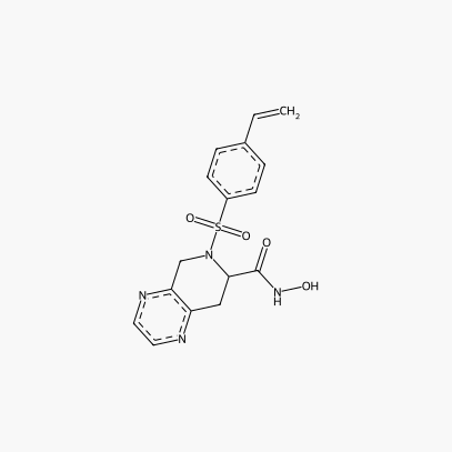 C=Cc1ccc(S(=O)(=O)N2Cc3nccnc3CC2C(=O)NO)cc1